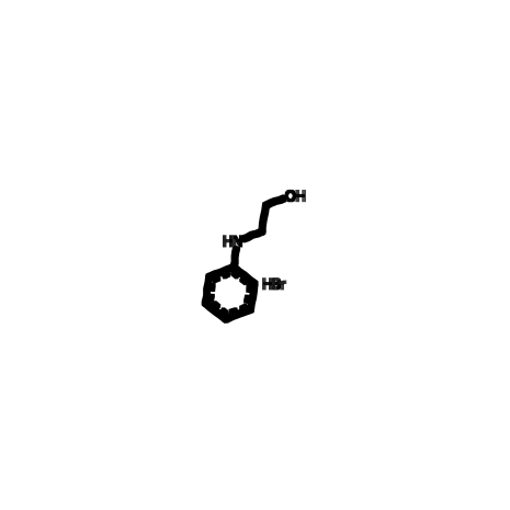 Br.OCCNc1ccccc1